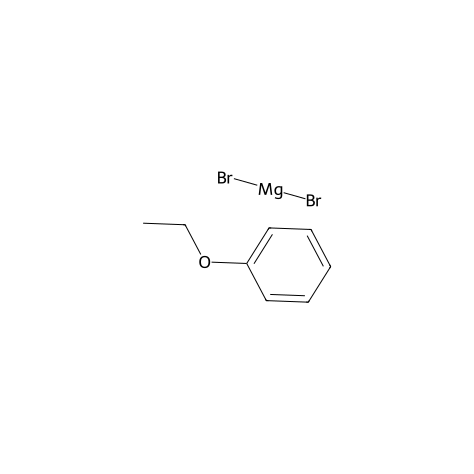 CCOc1ccccc1.[Br][Mg][Br]